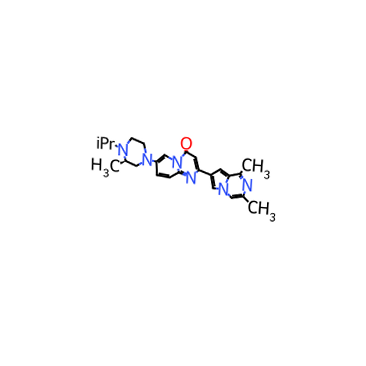 Cc1cn2cc(-c3cc(=O)n4cc(N5CCN(C(C)C)[C@H](C)C5)ccc4n3)cc2c(C)n1